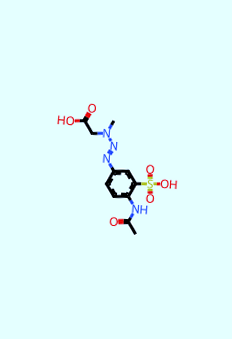 CC(=O)Nc1ccc(/N=N/N(C)CC(=O)O)cc1S(=O)(=O)O